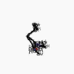 CC(=O)N/C(=C(/O)[C@@H](O)CCO)[C@@H](O)OCCCCCOCC(C)(COCCCCCO[C@@H]1OC(CO)C(O)(CO)CC1NC(C)=O)COCCCCCO[C@H](O)/C(NC(C)=O)=C(\O)[C@@H](O)CCO